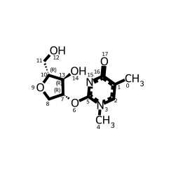 Cc1cn(C)c(O[C@@H]2CO[C@H](CO)[C@H]2O)nc1=O